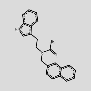 S=C(S)N(CCc1c[nH]c2ccccc12)Cc1ccc2ccccc2c1